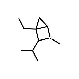 CCC12CC1N(C)C2C(C)C